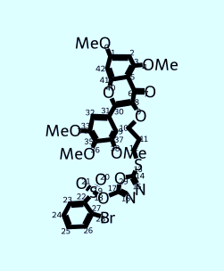 COc1cc(OC)c2c(=O)c(OCCCSc3nnc(OS(=O)(=O)c4ccccc4Br)o3)c(-c3cc(OC)c(OC)c(OC)c3)oc2c1